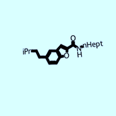 CCCCCCCNC(=O)c1cc2cc(CCC(C)C)ccc2o1